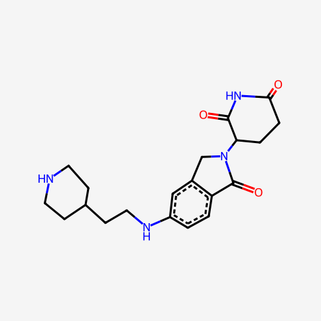 O=C1CCC(N2Cc3cc(NCCC4CCNCC4)ccc3C2=O)C(=O)N1